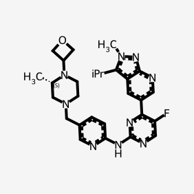 CC(C)c1c2cc(-c3nc(Nc4ccc(CN5CCN(C6COC6)[C@@H](C)C5)cn4)ncc3F)cnc2nn1C